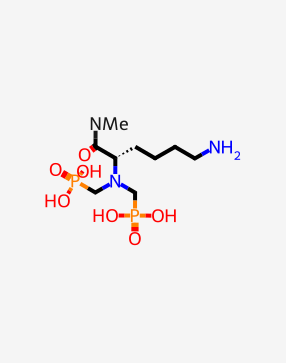 CNC(=O)[C@H](CCCCN)N(CP(=O)(O)O)CP(=O)(O)O